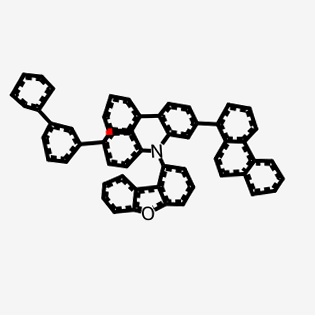 c1ccc(-c2cccc(-c3ccc(N(c4cc(-c5cccc6c5ccc5ccccc56)ccc4-c4ccccc4)c4cccc5oc6ccccc6c45)cc3)c2)cc1